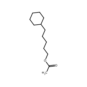 [CH2]C(=O)OCCCCCC1CCCCC1